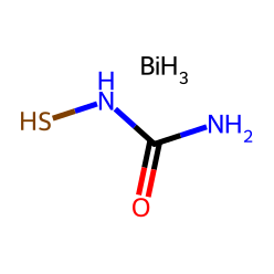 NC(=O)NS.[BiH3]